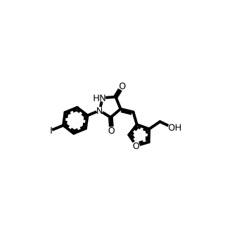 O=C1NN(c2ccc(I)cc2)C(=O)C1=Cc1cocc1CO